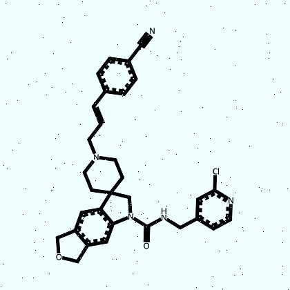 N#Cc1ccc(/C=C/CN2CCC3(CC2)CN(C(=O)NCc2ccnc(Cl)c2)c2cc4c(cc23)COC4)cc1